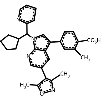 Cc1cc(-c2cn(C(c3ccccn3)C3CCCC3)c3ncc(-c4c(C)noc4C)cc23)ccc1C(=O)O